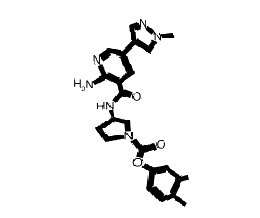 Cc1ccc(OC(=O)N2CC[C@@H](NC(=O)c3cc(-c4cnn(C)c4)cnc3N)C2)cc1C